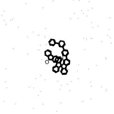 O=C1C2=C(C=CCC2)c2cc(-n3c4cc(C5=CCCC(c6ccccc6)=C5)ccc4c4ccc5c(c43)C3(c4ccccc4-c4ccccc43)c3ccccc3-5)ccc21